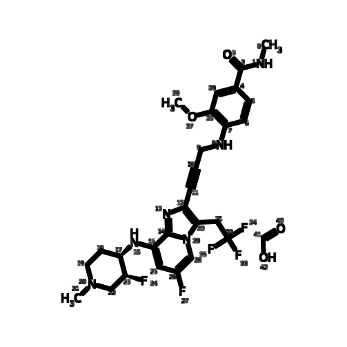 CNC(=O)c1ccc(NCC#Cc2nc3c(N[C@@H]4CCN(C)C[C@@H]4F)cc(F)cn3c2CC(F)(F)F)c(OC)c1.O=CO